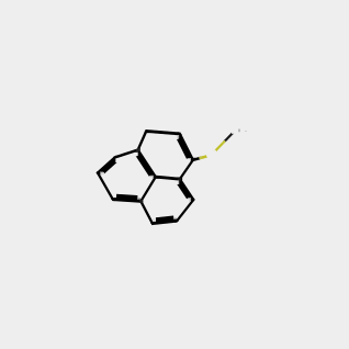 CCCCSC1=CCc2cccc3cccc1c23